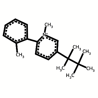 Cc1ccccc1-c1ccc(C(C)(C)C(C)(C)C)c[n+]1C